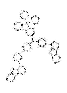 c1ccc(C2(c3ccccc3)c3ccccc3-c3cc(N(c4ccc(-c5cccc(-c6cccc7c6oc6ccccc67)c5)cc4)c4ccc(-c5cccc6c5sc5ccccc56)cc4)ccc32)cc1